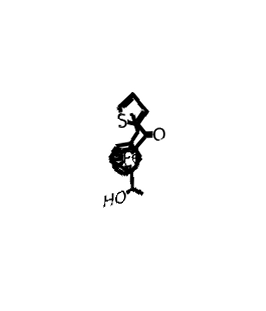 CC[C]12[CH]3[CH]4[C]5(C(C)O)[CH]1[Fe]34251678[CH]2[CH]1[CH]6[C]7(C(=O)c1cccs1)[CH]28